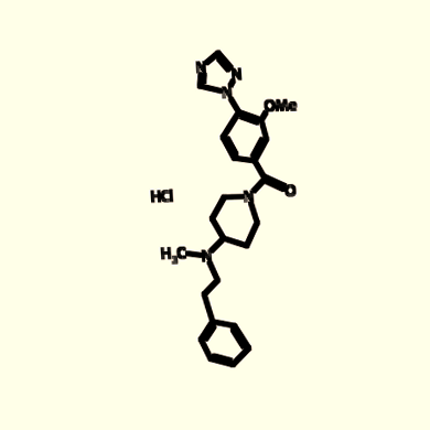 COc1cc(C(=O)N2CCC(N(C)CCc3ccccc3)CC2)ccc1-n1cncn1.Cl